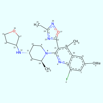 COc1cc(F)c2nc(N3CC[C@@H](NC4CCOC4)C[C@@H]3C)c(-c3nc(C)no3)c(C)c2c1